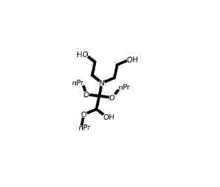 CCCOC(O)C(OCCC)(OCCC)N(CCO)CCO